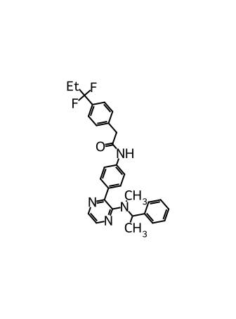 CCC(F)(F)c1ccc(CC(=O)Nc2ccc(-c3nccnc3N(C)C(C)c3ccccc3)cc2)cc1